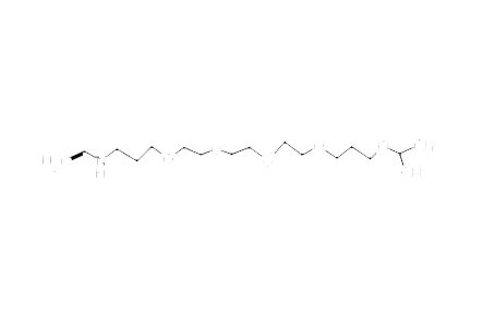 C=CNCCCOCCOCCOCCOCCCOC(C)C